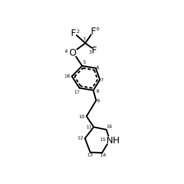 FC(F)(F)Oc1ccc(CCC2CCCNC2)cc1